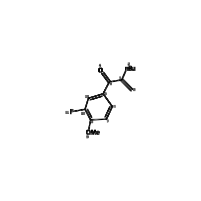 C=C(CCCC)C(=O)c1ccc(OC)c(F)c1